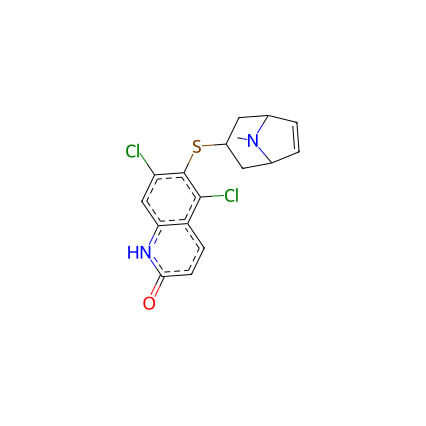 CN1C2C=CC1CC(Sc1c(Cl)cc3[nH]c(=O)ccc3c1Cl)C2